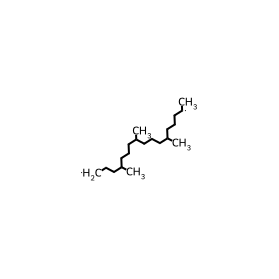 [CH2]CCC(C)CCCC(C)CCCC(C)CCC[CH]C